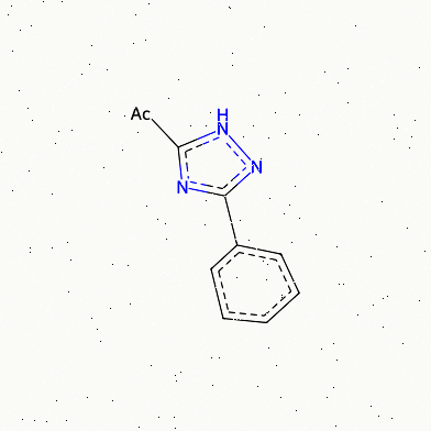 CC(=O)c1nc(-c2ccccc2)n[nH]1